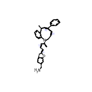 C=C(/C=C\C=C1/Cc2ccc(CN)cc2O1)N1C/C=C\C(c2ccccc2)=C/C(C)c2ccccc21